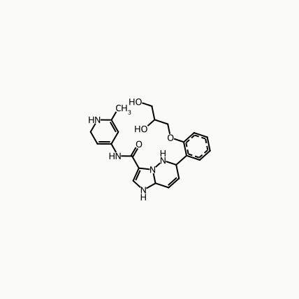 CC1=CC(NC(=O)C2=CNC3C=CC(c4ccccc4OCC(O)CO)NN23)=CCN1